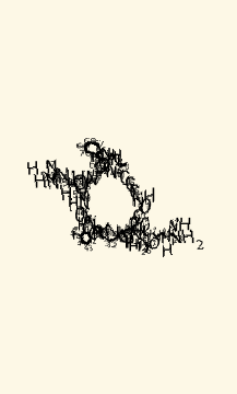 C=C(N)[C@@H]1CCCNC(=O)CC[C@H](NC(=O)[C@H](CCCNC(=N)N)NC(C)=O)C(=O)N2CCC[C@H]2C(=O)N[C@H](Cc2ccccc2F)C(=O)N[C@@H](CCCNC(=N)N)C(=O)N[C@@H](Cc2c[nH]c3ccccc23)C(=O)N1